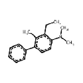 CCc1c(N(C)C)ccc(-c2ccccc2)c1C